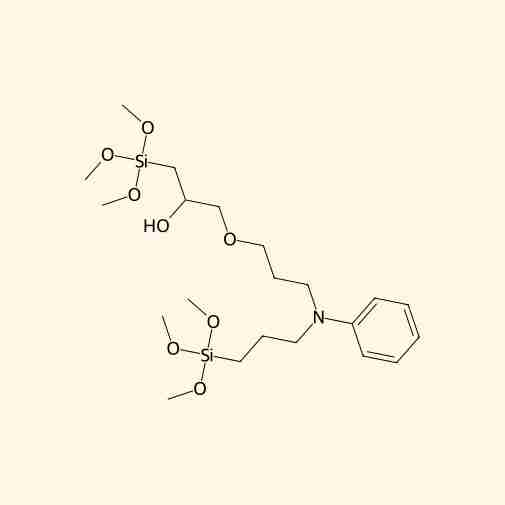 CO[Si](CCCN(CCCOCC(O)C[Si](OC)(OC)OC)c1ccccc1)(OC)OC